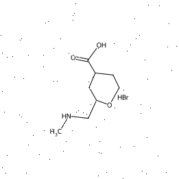 Br.CNCC1CC(C(=O)O)CCO1